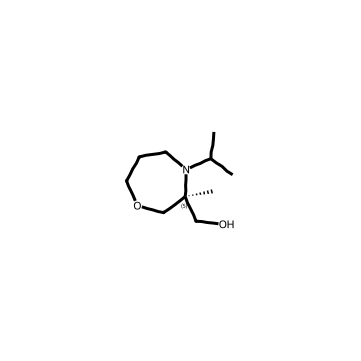 CC(C)N1CCCOC[C@]1(C)CO